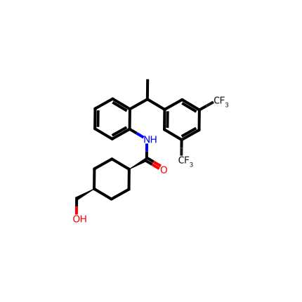 CC(c1cc(C(F)(F)F)cc(C(F)(F)F)c1)c1ccccc1NC(=O)[C@H]1CC[C@@H](CO)CC1